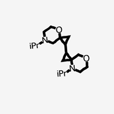 CC(C)N1CCOC2(CC2C2CC23COCCN3C(C)C)C1